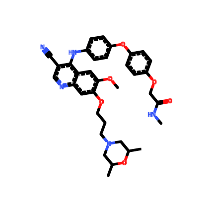 CNC(=O)COc1ccc(Oc2ccc(Nc3c(C#N)cnc4cc(OCCCN5CC(C)OC(C)C5)c(OC)cc34)cc2)cc1